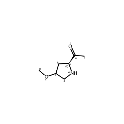 COC1CN[C@H](C(C)=O)C1